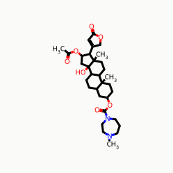 CC(=O)OC1CC2(O)C3CCC4CC(OC(=O)N5CCCN(C)CC5)CCC4(C)C3CCC2(C)C1C1=CC(=O)OC1